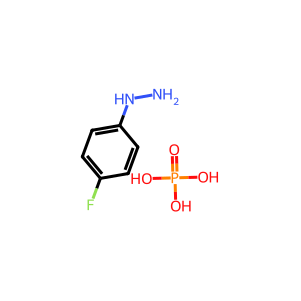 NNc1ccc(F)cc1.O=P(O)(O)O